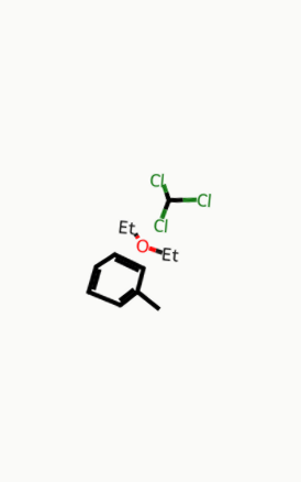 CCOCC.Cc1ccccc1.ClC(Cl)Cl